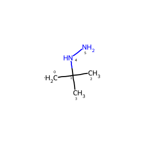 [CH2]C(C)(C)NN